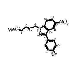 COCCOCn1nc(-c2ccc(F)cc2)c2cc([N+](=O)[O-])ccc21